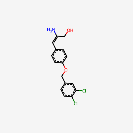 N/C(=C/c1ccc(OCc2ccc(Cl)c(Cl)c2)cc1)CO